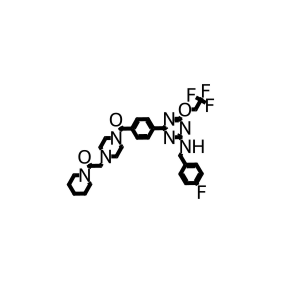 O=C(CN1CCN(C(=O)c2ccc(-c3nc(NCc4ccc(F)cc4)nc(OCC(F)(F)F)n3)cc2)CC1)N1CCCCC1